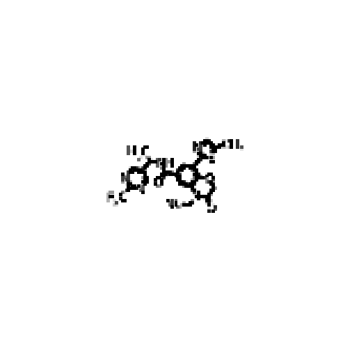 Cc1cnc(-c2cc(C(=O)N[C@H](C)c3cnc(C(F)(F)F)nc3)cc3c2OCC(=O)N3CC#N)s1